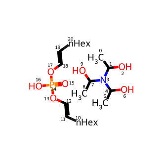 CC(O)N(C(C)O)C(C)O.CCCCCCC=COP(=O)(O)OC=CCCCCCC